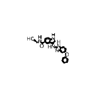 C#CCNC(=O)c1ccc2[nH]cc(Nc3nc4cc(Oc5ccccc5)ccc4[nH]3)c2c1